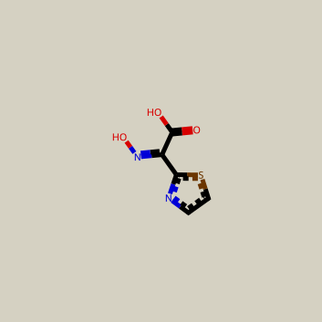 O=C(O)C(=NO)c1nccs1